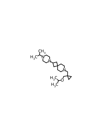 CC(C)OCC1(CN2CCC3(CC2)CC(N2CCN(C(C)C)CC2)C3)CC1